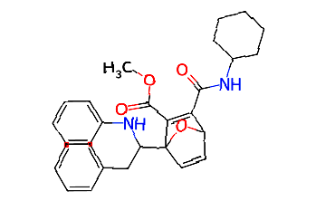 COC(=O)C1=C(C(=O)NC2CCCCC2)C2C=CC1(C(Cc1ccccc1)Nc1ccccc1)O2